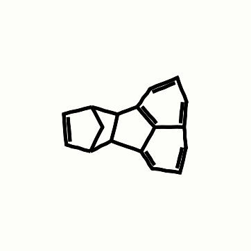 C1=CC2CC1C1c3cccc4cccc(c34)C21